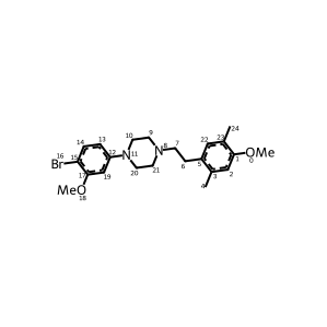 COc1cc(C)c(CCN2CCN(c3ccc(Br)c(OC)c3)CC2)cc1C